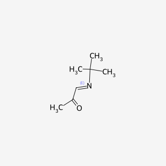 CC(=O)/C=N/C(C)(C)C